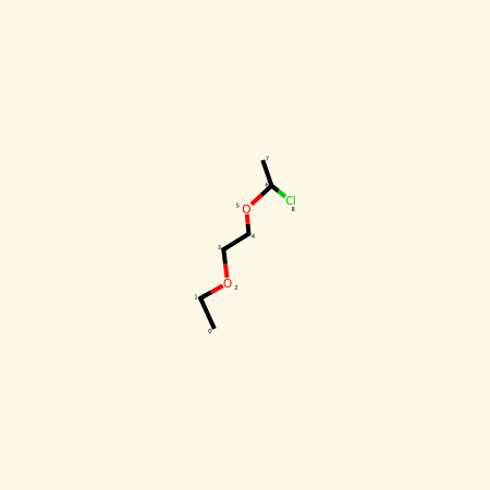 CCOCCOC(C)Cl